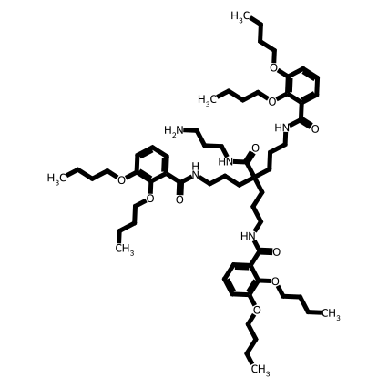 CCCCOc1cccc(C(=O)NCCCC(CCCNC(=O)c2cccc(OCCCC)c2OCCCC)(CCCNC(=O)c2cccc(OCCCC)c2OCCCC)C(=O)NCCCN)c1OCCCC